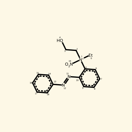 CC[N+](CCO)(c1ccccc1N=Nc1ccccc1)[N+](=O)[O-]